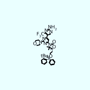 CC1(C)[C@@H](CCO[Si](c2ccccc2)(c2ccccc2)C(C)(C)C)OC(=O)N1c1cc(-c2cnc(N)nc2C(F)(F)F)nc(N2CCOCC2)n1